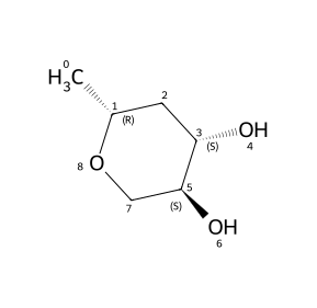 C[C@@H]1C[C@H](O)[C@@H](O)CO1